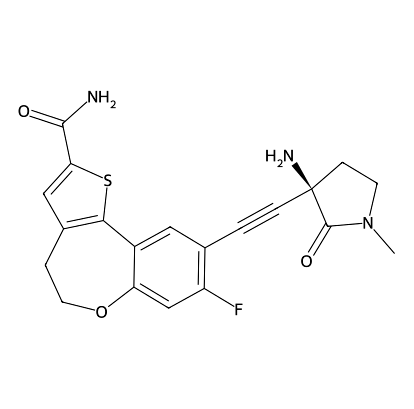 CN1CC[C@@](N)(C#Cc2cc3c(cc2F)OCCc2cc(C(N)=O)sc2-3)C1=O